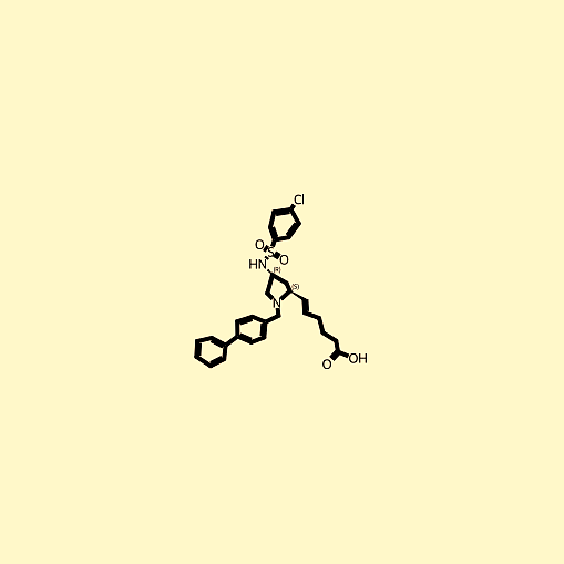 O=C(O)CCCC=C[C@@H]1C[C@@H](NS(=O)(=O)c2ccc(Cl)cc2)CN1Cc1ccc(-c2ccccc2)cc1